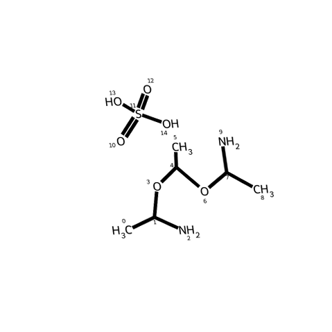 CC(N)OC(C)OC(C)N.O=S(=O)(O)O